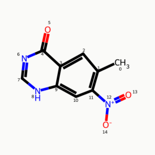 Cc1cc2c(=O)nc[nH]c2cc1[N+](=O)[O-]